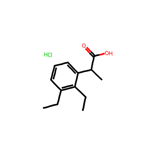 CCc1cccc(C(C)C(=O)O)c1CC.Cl